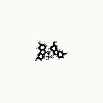 Cc1ccc2c(c1)-c1cc(C)ccc1C2O[PH](=O)OC1c2ccc(C)cc2-c2cc(C)ccc21